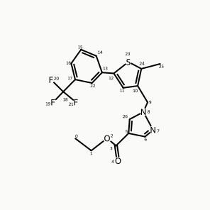 CCOC(=O)c1cnn(Cc2cc(-c3cccc(C(F)(F)F)c3)sc2C)c1